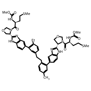 CCc1ccc(CCc2ccc(C)cc2-c2ccc3[nH]c([C@@H]4COCN4C(=O)[C@H](CCSC)NC(=O)OC)nc3c2)cc1-c1ccc2[nH]c([C@@H]3COCN3C(=O)[C@H](CCSC)NC(=O)OC)nc2c1